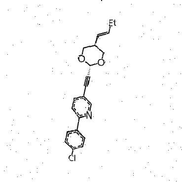 CCC=C[C@H]1CO[C@H](C#Cc2ccc(-c3ccc(Cl)cc3)nc2)OC1